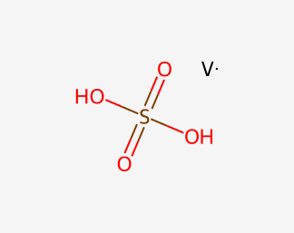 O=S(=O)(O)O.[V]